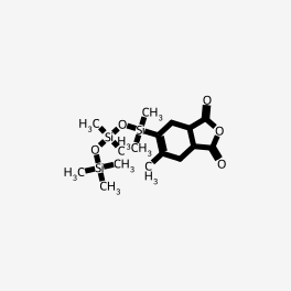 CC1=C([Si](C)(C)O[Si](C)(C)O[Si](C)(C)C)CC2C(=O)OC(=O)C2C1